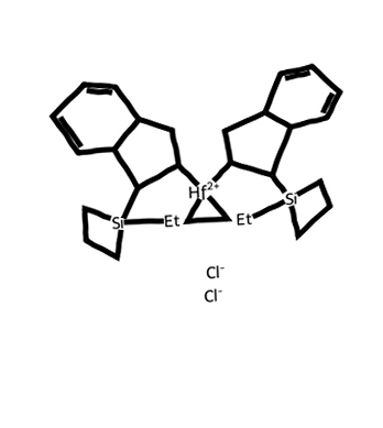 CC[Si]1(C2C3C=CC=CC3C[CH]2[Hf+2]2([CH]3CC4C=CC=CC4C3[Si]3(CC)CCC3)[CH2][CH2]2)CCC1.[Cl-].[Cl-]